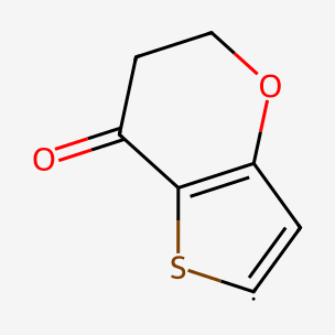 O=C1CCOc2c[c]sc21